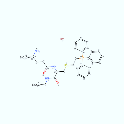 CCOC(=O)CNC(=O)[C@H](C[SH]=CC[P+](c1ccccc1)(c1ccccc1)c1ccccc1)NC(=O)CC[C@H](N)C(=O)OCC.[Br-]